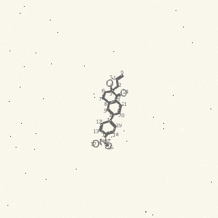 C=CCC1(OC)CCc2cc(-c3ccc([N+](=O)[O-])cc3)ccc2C1=O